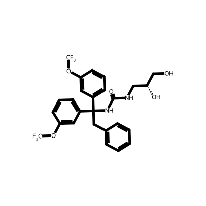 O=C(NC[C@@H](O)CO)NC(Cc1ccccc1)(c1cccc(OC(F)(F)F)c1)c1cccc(OC(F)(F)F)c1